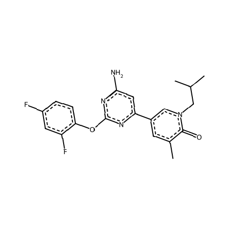 Cc1cc(-c2cc(N)nc(Oc3ccc(F)cc3F)n2)cn(CC(C)C)c1=O